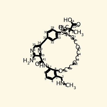 CNCc1cccc2c1OCCOCCOCCN(C(C)(C)C(=O)O)S(=O)(=O)c1ccc(cc1)-c1cnc(N)c(n1)C(=O)N2